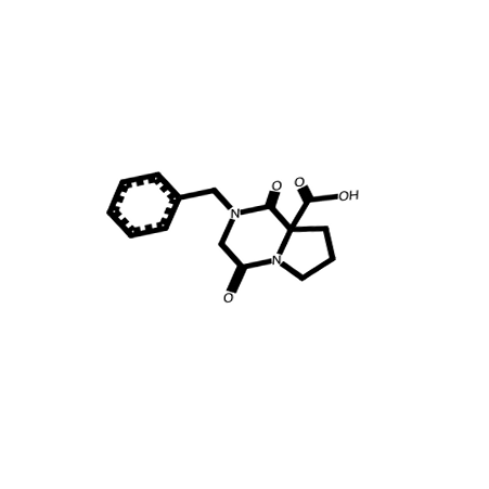 O=C1CN(Cc2ccccc2)C(=O)C2(C(=O)O)CCCN12